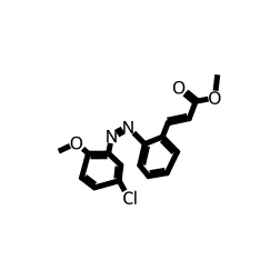 COC(=O)/C=C/c1ccccc1/N=N\c1cc(Cl)ccc1OC